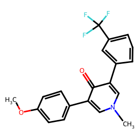 COc1ccc(-c2cn(C)cc(-c3cccc(C(F)(F)F)c3)c2=O)cc1